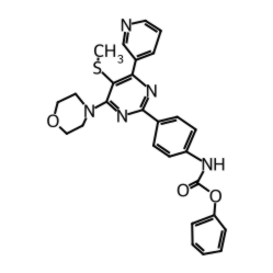 CSc1c(-c2cccnc2)nc(-c2ccc(NC(=O)Oc3ccccc3)cc2)nc1N1CCOCC1